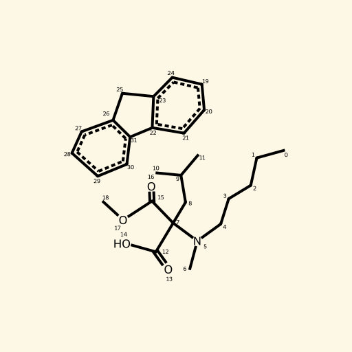 CCCCCN(C)C(CC(C)C)(C(=O)O)C(=O)OC.c1ccc2c(c1)Cc1ccccc1-2